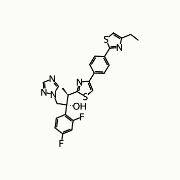 CCc1csc(-c2ccc(-c3csc([C@H](C)[C@](O)(Cn4cncn4)c4ccc(F)cc4F)n3)cc2)n1